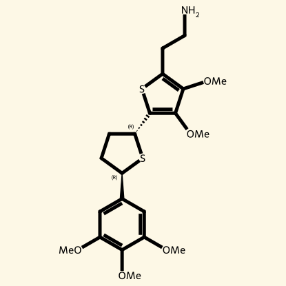 COc1cc([C@H]2CC[C@H](c3sc(CCN)c(OC)c3OC)S2)cc(OC)c1OC